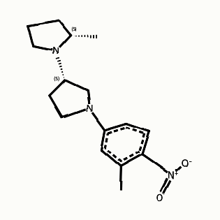 Cc1cc(N2CC[C@H](N3CCC[C@@H]3C)C2)ccc1[N+](=O)[O-]